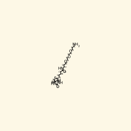 NCCCOCCOCCOCCCNC(=O)CCCC[C@H]1SC[C@@H]2NC(=O)N[C@@H]21